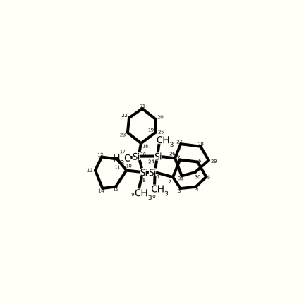 C[Si]1(C2CCCCC2)[Si](C)(C2CCCCC2)[Si](C)(C2CCCCC2)[Si]1(C)C1CCCCC1